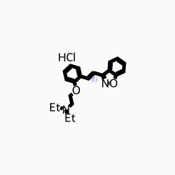 CCN(CC)CCOc1ccccc1/C=C/c1noc2ccccc12.Cl